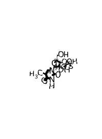 Cc1cn([C@@H]2O[C@H](CO)[C@@H](OP(O)(O)=S)[C@H]2O)c(=O)[nH]c1=O